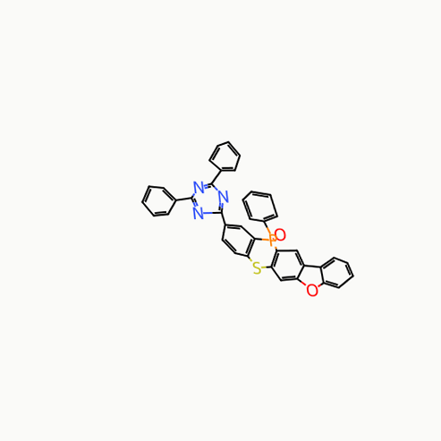 O=P1(c2ccccc2)c2cc(-c3nc(-c4ccccc4)nc(-c4ccccc4)n3)ccc2Sc2cc3oc4ccccc4c3cc21